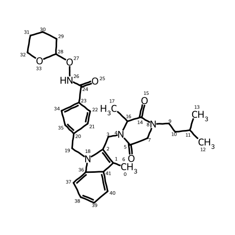 Cc1c(CN2C(=O)CN(CCC(C)C)C(=O)C2C)n(Cc2ccc(C(=O)NOC3CCCCO3)cc2)c2ccccc12